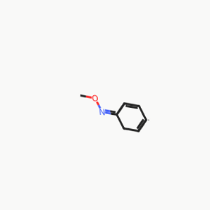 CON=C1C=C[C]=CC1